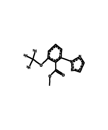 [2H]C([2H])([2H])Oc1cccc(-n2nccn2)c1C(=O)OC